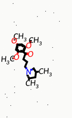 COc1cc(OC)c(C(=O)CCCN2CC(C)CC(C)C2)c(OC)c1